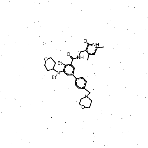 CCc1c(C(=O)NCc2c(C)cc(C)[nH]c2=O)cc(-c2ccc(CN3CCOCC3)cc2)cc1N(CC)C1CCOCC1